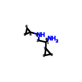 NC(CNC1CC1)C1CC1